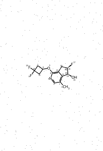 Cc1cnc(OC2CC(F)(F)C2)c2c1[C@H](O)[C@H](F)C2